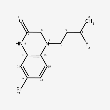 CC(F)CCN1CC(=O)Nc2cc(Br)ccc21